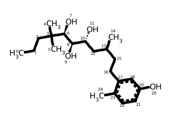 CCCC(C)(C)[C@@H](O)[C@H](O)[C@H](O)CC(C)CCc1cc(O)ccc1C